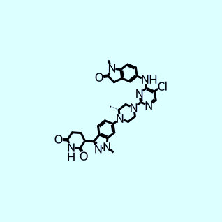 C[C@@H]1CN(c2ncc(Cl)c(Nc3ccc4c(c3)CC(=O)N4C)n2)CCN1c1ccc2c(C3CCC(=O)NC3=O)nn(C)c2c1